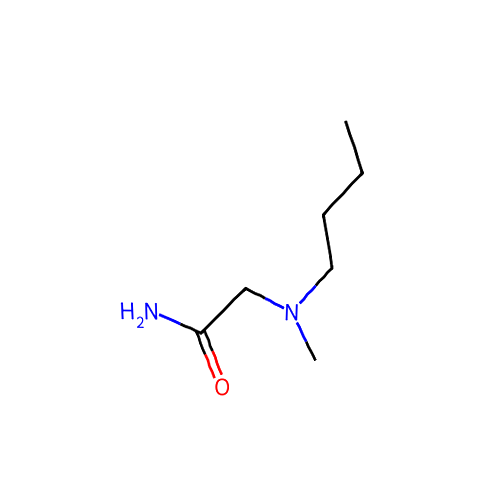 CCCCN(C)CC(N)=O